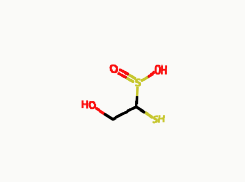 O=S(O)C(S)CO